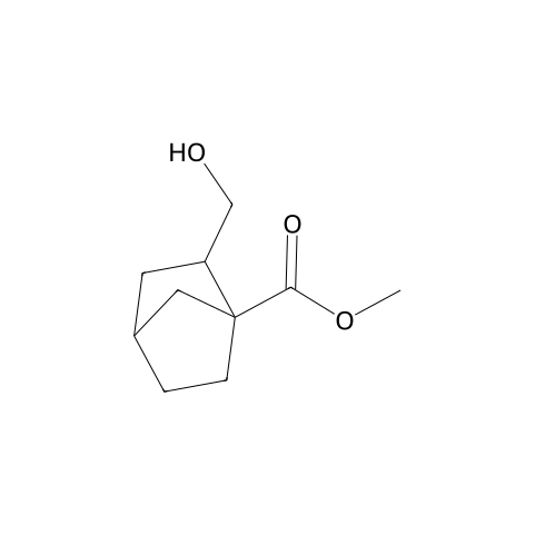 COC(=O)C12CCC(CC1CO)C2